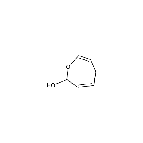 OC1C=CCC=CO1